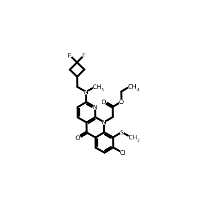 CCOC(=O)Cn1c2nc(N(C)CC3CC(F)(F)C3)ccc2c(=O)c2ccc(Cl)c(SC)c21